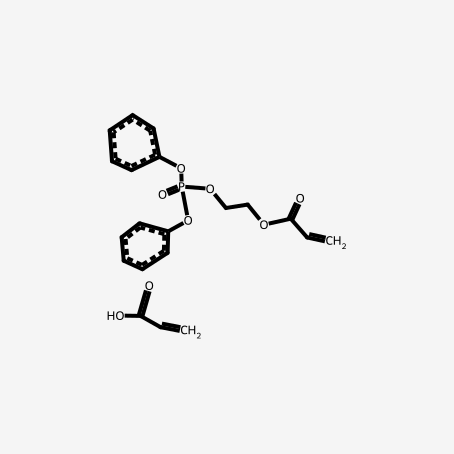 C=CC(=O)O.C=CC(=O)OCCOP(=O)(Oc1ccccc1)Oc1ccccc1